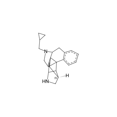 c1ccc2c(c1)CC1N(CC3CC3)CCC23C2C4CCC13C[C@@H]2CN4